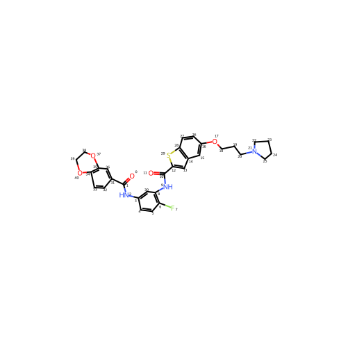 O=C(Nc1ccc(F)c(NC(=O)c2cc3cc(OCCCN4CCCC4)ccc3s2)c1)c1ccc2c(c1)OCCO2